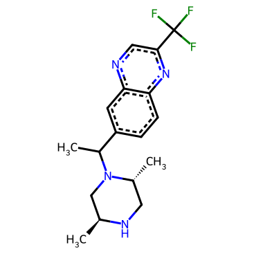 CC(c1ccc2nc(C(F)(F)F)cnc2c1)N1C[C@H](C)NC[C@H]1C